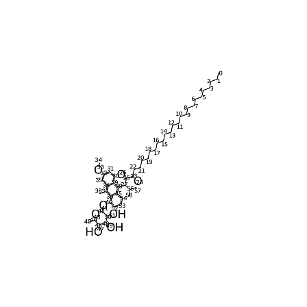 CCCCCCCCCCCCCCCCCCCCCCCC(=O)C(=O)C(c1c2ccc(OC)cc2c(C)c2c(OC3OC(C)C(O)C(O)C3O)cccc12)C(C)C